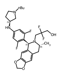 CCCCN1CC[C@H](Nc2cc(F)c([C@@H]3c4cc5c(cc4C[C@@H](C)N3CC(F)(F)CO)OCO5)c(F)c2)C1